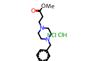 COC(=O)CCN1CCN(Cc2ccccc2)CC1.Cl.Cl